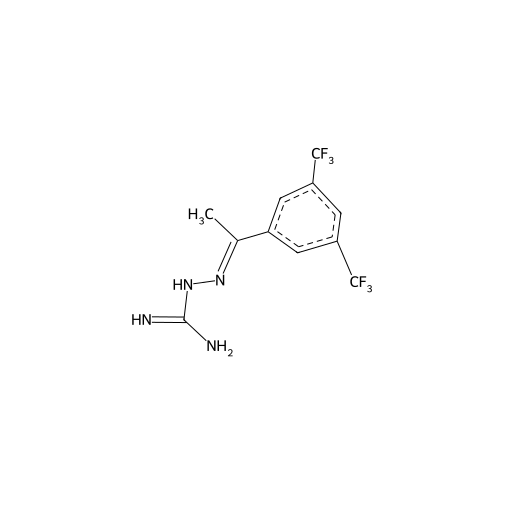 CC(=NNC(=N)N)c1cc(C(F)(F)F)cc(C(F)(F)F)c1